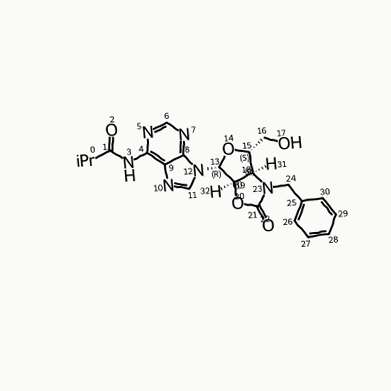 CC(C)C(=O)Nc1ncnc2c1ncn2[C@@H]1O[C@H](CO)[C@@H]2[C@H]1OC(=O)N2Cc1ccccc1